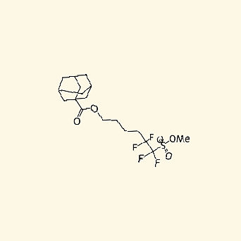 COS(=O)(=O)C(F)(F)C(F)(F)CCCCOC(=O)C12CC3CC(CC(C3)C1)C2